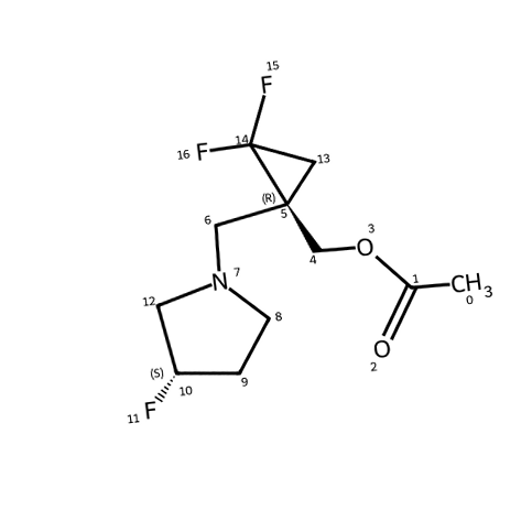 CC(=O)OC[C@]1(CN2CC[C@H](F)C2)CC1(F)F